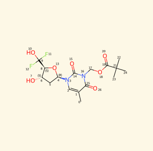 Cc1cn([C@H]2C[C@H](O)[C@@H](C(O)(F)F)O2)c(=O)n(COC(=O)C(C)(C)C)c1=O